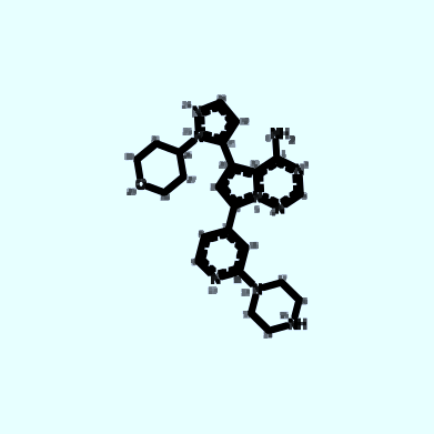 Nc1ncnn2c(-c3ccnc(N4CCNCC4)c3)cc(-c3ccnn3C3CCOCC3)c12